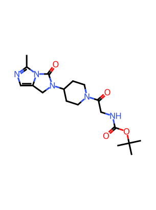 Cc1ncc2n1C(=O)N(C1CCN(C(=O)CNC(=O)OC(C)(C)C)CC1)C2